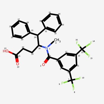 CN(C(=O)c1cc(C(F)(F)F)cc(C(F)(F)F)c1)C(CCC(=O)O)C(c1ccccc1)c1ccccc1